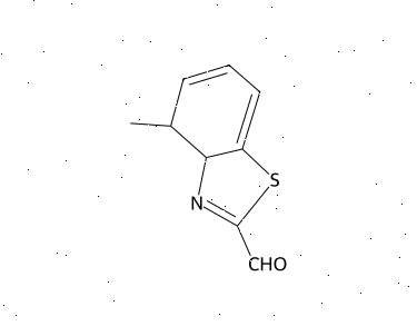 CC1C=CC=C2SC(C=O)=NC21